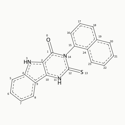 O=c1c2[nH]c3ccccc3c2[nH]c(=S)n1-c1cccc2ccccc12